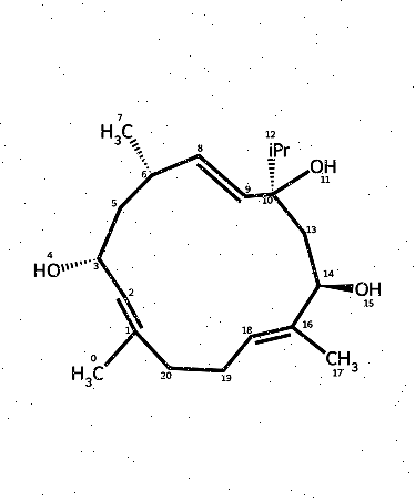 C/C1=C\[C@H](O)C[C@H](C)/C=C/[C@](O)(C(C)C)C[C@@H](O)/C(C)=C/CC1